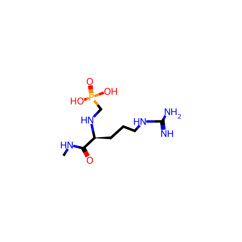 CNC(=O)[C@H](CCCNC(=N)N)NCP(=O)(O)O